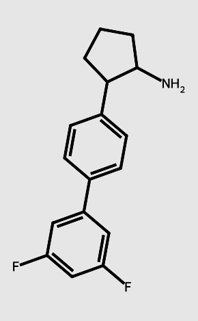 NC1CCCC1c1ccc(-c2cc(F)cc(F)c2)cc1